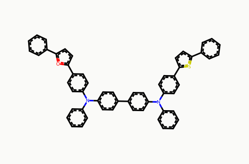 c1ccc(-c2ccc(-c3ccc(N(c4ccccc4)c4ccc(-c5ccc(N(c6ccccc6)c6ccc(-c7ccc(-c8ccccc8)s7)cc6)cc5)cc4)cc3)o2)cc1